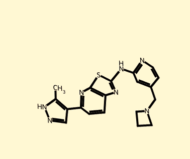 Cc1[nH]ncc1-c1ccc2nc(Nc3cc(CN4CCC4)ccn3)sc2n1